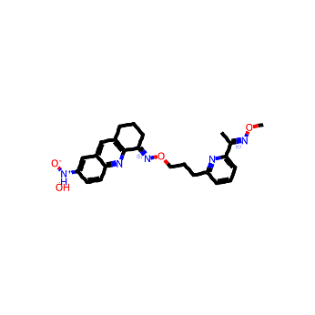 CO/N=C(\C)c1cccc(CCCO/N=C2\CCCc3cc4cc([NH+]([O-])O)ccc4nc32)n1